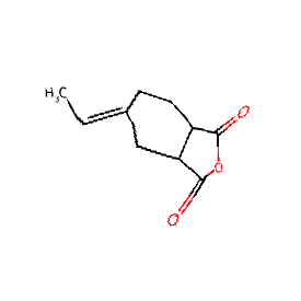 CC=C1CCC2C(=O)OC(=O)C2C1